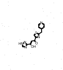 O=C(C=C(O)c1nc[nH]n1)c1csc(Cc2ccncc2)n1